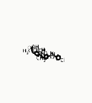 Cc1cc(CC(C)(C)C(=O)O)cc(C)c1-c1cc2ccc(-c3nnc(-c4ccc(Cl)cc4)o3)cc2[nH]1